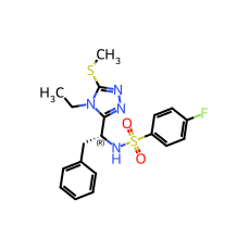 CCn1c(SC)nnc1[C@@H](Cc1ccccc1)NS(=O)(=O)c1ccc(F)cc1